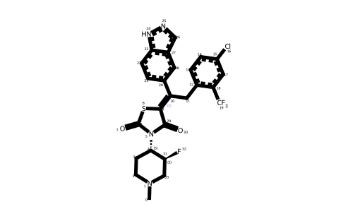 CN1CC[C@H](N2C(=O)S/C(=C(/Cc3ccc(Cl)cc3C(F)(F)F)c3ccc4[nH]ncc4c3)C2=O)[C@@H](F)C1